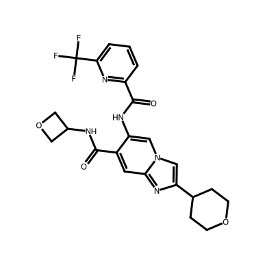 O=C(Nc1cn2cc(C3CCOCC3)nc2cc1C(=O)NC1COC1)c1cccc(C(F)(F)F)n1